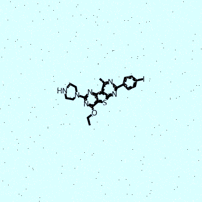 CCOc1nc(N2CCNCC2)nc2c1sc1nc(-c3ccc(I)cc3)nc(C)c12